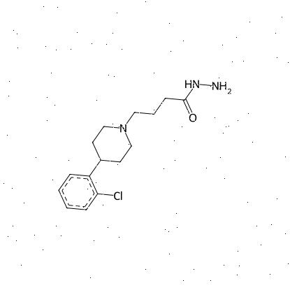 NNC(=O)CCCN1CCC(c2ccccc2Cl)CC1